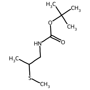 CSC(C)CNC(=O)OC(C)(C)C